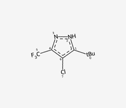 CC(C)(C)c1[nH]nc(C(F)(F)F)c1Cl